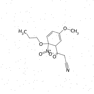 CCCOC1([N+](=O)[O-])C=CC(OC)=CC1C(=O)CC#N